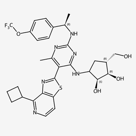 Cc1nc(N[C@H](C)c2ccc(OC(F)(F)F)cc2)nc(NC2C[C@H](CO)[C@@H](O)[C@H]2O)c1-c1nc2c(C3CCC3)nccc2s1